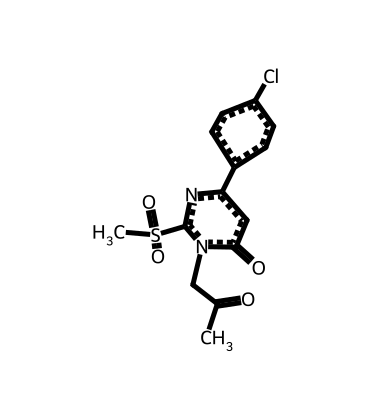 CC(=O)Cn1c(S(C)(=O)=O)nc(-c2ccc(Cl)cc2)cc1=O